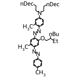 CCCCCCCCCCCCN(CCCCCCCCCCCC)c1ccc(/N=N/c2cc(C)c(/N=N/c3ccc(C)cc3)cc2OCC(CC)CCCC)c(C)c1